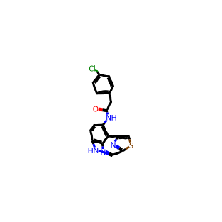 O=C(Cc1ccc(Cl)cc1)Nc1ccc2[nH]c3nc2c1-c1csc-3n1